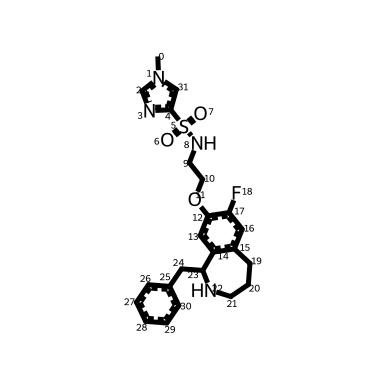 Cn1cnc(S(=O)(=O)NCCOc2cc3c(cc2F)CCCNC3Cc2ccccc2)c1